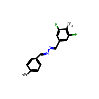 CCCc1ccc(/C=N/N=C/c2cc(F)c(C(F)(F)F)c(F)c2)cc1